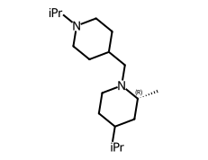 CC(C)C1CCN(CC2CCN(C(C)C)CC2)[C@H](C)C1